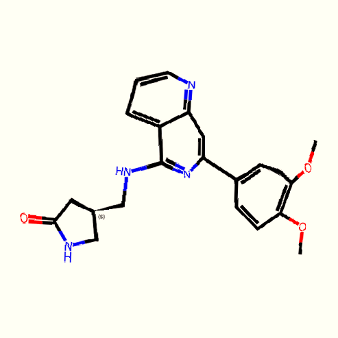 COc1ccc(-c2cc3ncccc3c(NC[C@H]3CNC(=O)C3)n2)cc1OC